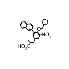 CC(Cc1cc(-c2ccc3ccccc3c2)c(OCC2CCCC2)c([N+](=O)[O-])c1)C(=O)O